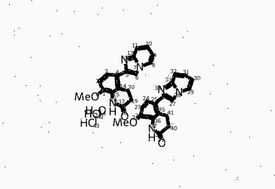 COc1ccc(-c2cn3ccccc3n2)c2c1NC(=O)CC2.COc1ccc(-c2cn3ccccc3n2)c2c1NC(=O)CC2.Cl.Cl.O